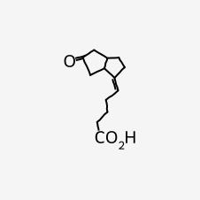 O=C(O)CCCC=C1CCC2CC(=O)CC12